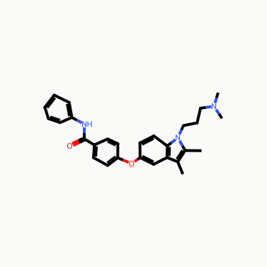 Cc1c(C)n(CCCN(C)C)c2ccc(Oc3ccc(C(=O)Nc4ccccc4)cc3)cc12